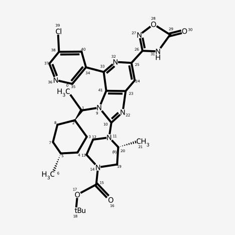 CC([C@H]1CC[C@H](C)CC1)n1c(N2CCN(C(=O)OC(C)(C)C)C[C@H]2C)nc2cc(-c3noc(=O)[nH]3)nc(-c3cncc(Cl)c3)c21